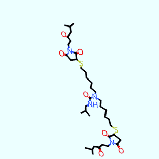 CC(C)CNC(=O)N(CCCCCCSC1CC(=O)N(CCC(=O)CC(C)C)C1=O)CCCCCCSC1CC(=O)N(CCC(=O)CC(C)C)C1=O